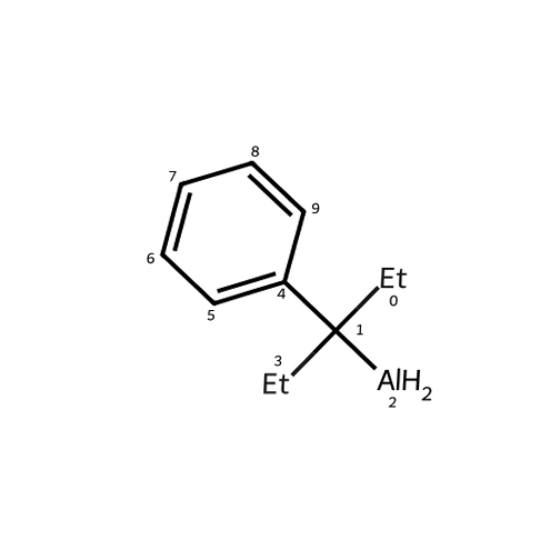 CC[C]([AlH2])(CC)c1ccccc1